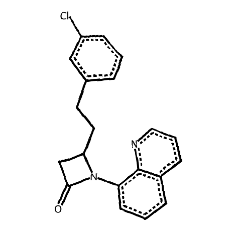 O=C1CC(CCc2cccc(Cl)c2)N1c1cccc2cccnc12